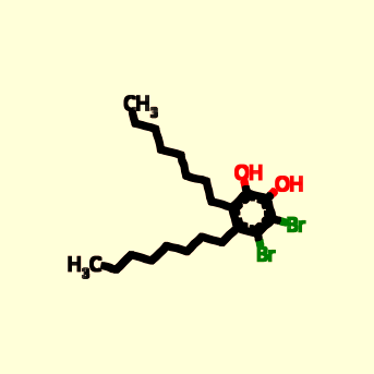 CCCCCCCCc1c(O)c(O)c(Br)c(Br)c1CCCCCCCC